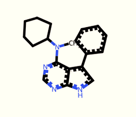 CN(c1ncnc2[nH]cc(-c3ccccc3)c12)C1CCCCC1